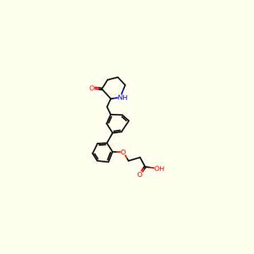 O=C(O)CCOc1ccccc1-c1cccc(CC2NCCCC2=O)c1